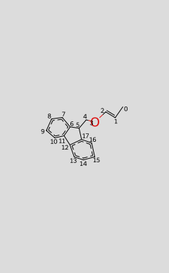 CC=COCC1c2ccccc2-c2ccccc21